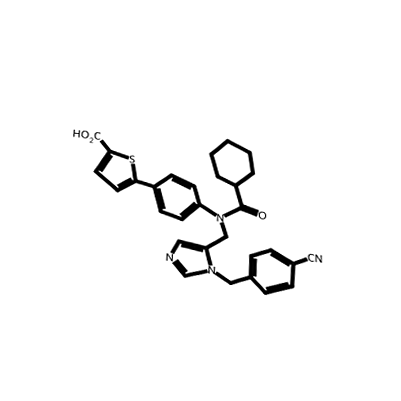 N#Cc1ccc(Cn2cncc2CN(C(=O)C2CCCCC2)c2ccc(-c3ccc(C(=O)O)s3)cc2)cc1